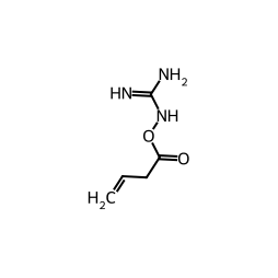 C=CCC(=O)ONC(=N)N